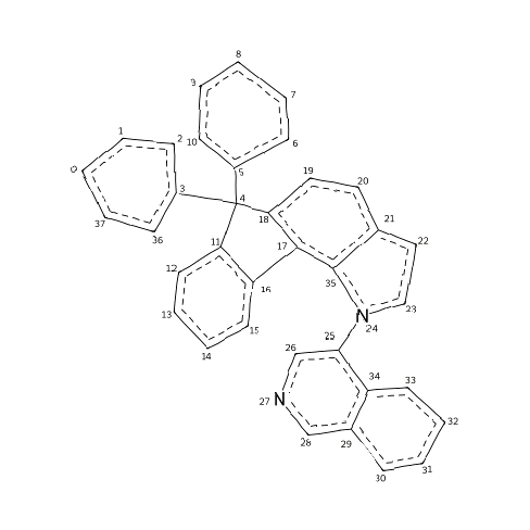 c1ccc(C2(c3ccccc3)c3ccccc3-c3c2ccc2ccn(-c4cncc5ccccc45)c32)cc1